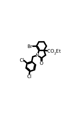 CCOC(=O)C12CCCC(Br)=C1N(Cc1ccc(Cl)cc1Cl)C(=O)C2